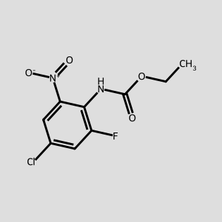 CCOC(=O)Nc1c(F)cc(Cl)cc1[N+](=O)[O-]